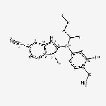 CCCC(C)N(c1ccc(CO)c(F)c1)c1[nH]c2cc(C#N)ccc2c1C